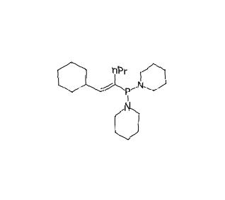 CCCC(=CC1CCCCC1)P(N1CCCCC1)N1CCCCC1